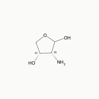 N[C@H]1C(O)OC[C@H]1O